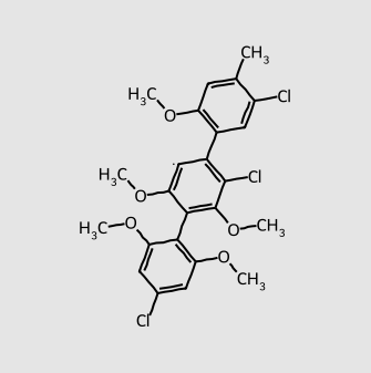 COc1[c]c(-c2cc(Cl)c(C)cc2OC)c(Cl)c(OC)c1-c1c(OC)cc(Cl)cc1OC